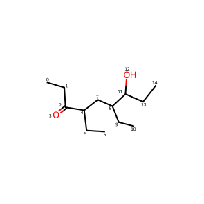 CCC(=O)C(CC)CC(CC)C(O)CC